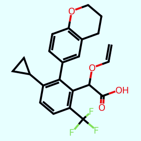 C=COC(C(=O)O)c1c(C(F)(F)F)ccc(C2CC2)c1-c1ccc2c(c1)CCCO2